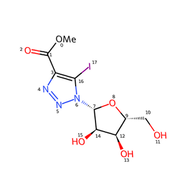 COC(=O)c1nnn([C@@H]2O[C@H](CO)[C@@H](O)[C@H]2O)c1I